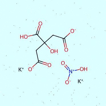 O=C([O-])CC(O)(CC(=O)[O-])C(=O)O.O=[N+]([O-])O.[K+].[K+]